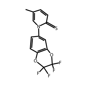 Cc1ccc(=S)n(-c2ccc3c(c2)OC(F)(F)C(F)(F)O3)c1